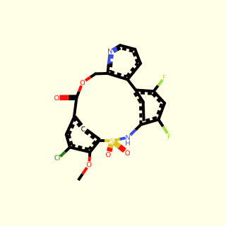 COc1c(Cl)cc2cc1S(=O)(=O)Nc1cc(c(F)cc1F)-c1cccnc1COC2=O